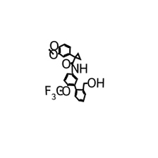 O=C(Nc1ccc(OC(F)(F)F)c(-c2ccccc2CO)c1)C1(c2ccc3c(c2)OCO3)CC1